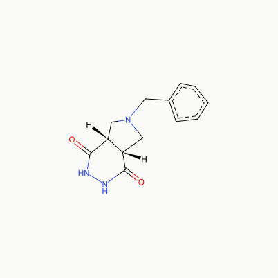 O=C1NNC(=O)[C@@H]2CN(Cc3ccccc3)C[C@H]12